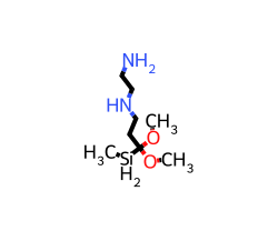 COC(CCNCCN)(OC)[SiH2]C